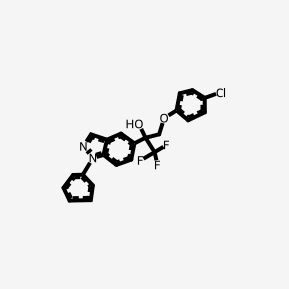 OC(COc1ccc(Cl)cc1)(c1ccc2c(cnn2-c2ccccc2)c1)C(F)(F)F